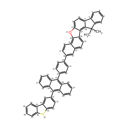 CC1(C)c2ccccc2-c2ccc3oc4c5ccc(-c6ccc(-c7c8ccccc8c(-c8ccc9sc%10ccccc%10c9c8)c8ccccc78)cc6)cc5ccc4c3c21